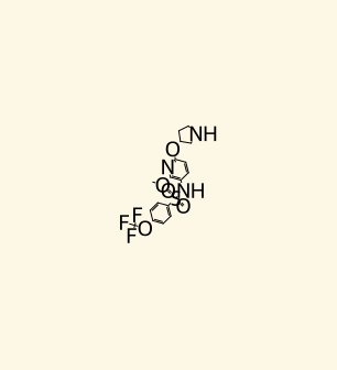 COc1nc(OC2CCNC2)ccc1NS(=O)(=O)c1ccc(OC(F)(F)F)cc1